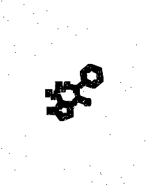 Cc1[nH]cc[n+]1C(=O)N(C)c1ccccc1